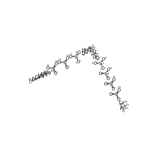 O=[Si]([O-])[O-].O=[Si]([O-])[O-].O=[Si]([O-])[O-].O=[Si]([O-])[O-].O=[Si]([O-])[O-].O=[Si]([O-])[O-].O=[Si]([O-])[O-].[Ca+2].[Ca+2].[Ca+2].[Fe+3].[Fe+3].[Fe+3].[Mg+2].[Mg+2].[Mg+2].[OH-].[OH-].[OH-].[OH-].[OH-].[OH-].[OH-]